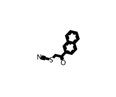 N#CSCC(=O)c1ccc2ccccc2c1